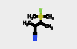 CC(C#N)C(C)S(C)(C)F